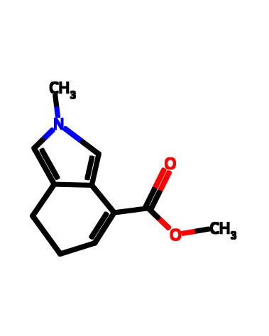 COC(=O)C1=CCCc2cn(C)cc21